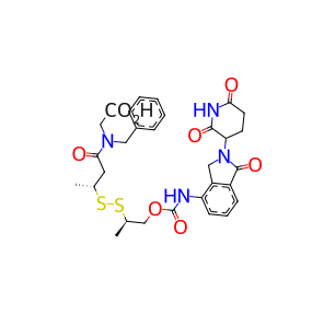 C[C@H](COC(=O)Nc1cccc2c1CN(C1CCC(=O)NC1=O)C2=O)SS[C@H](C)CC(=O)N(CC(=O)O)Cc1ccccc1